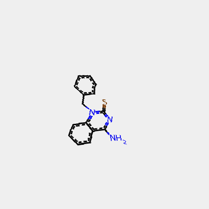 Nc1nc(=S)n(Cc2ccccc2)c2ccccc12